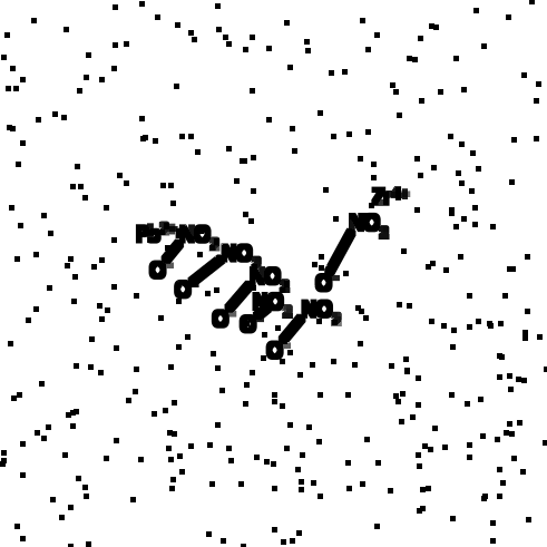 O=[N+]([O-])[O-].O=[N+]([O-])[O-].O=[N+]([O-])[O-].O=[N+]([O-])[O-].O=[N+]([O-])[O-].O=[N+]([O-])[O-].[Pb+2].[Zr+4]